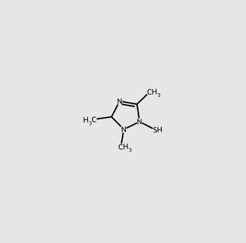 CC1=NC(C)N(C)N1S